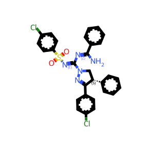 N/C(=N\C(=N/S(=O)(=O)c1ccc(Cl)cc1)N1C[C@H](c2ccccc2)C(c2ccc(Cl)cc2)=N1)c1ccccc1